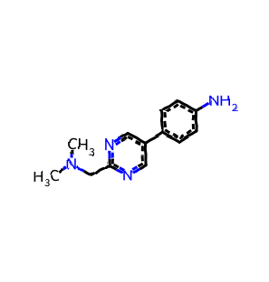 CN(C)Cc1ncc(-c2ccc(N)cc2)cn1